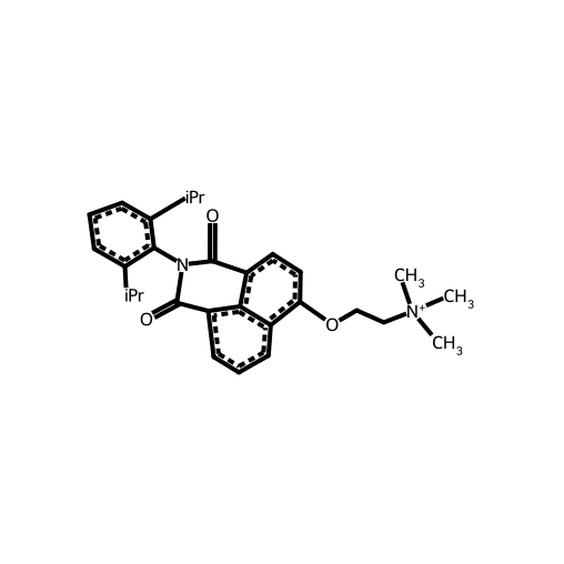 CC(C)c1cccc(C(C)C)c1N1C(=O)c2cccc3c(OCC[N+](C)(C)C)ccc(c23)C1=O